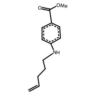 C=CCCCNc1ccc(C(=O)OC)cc1